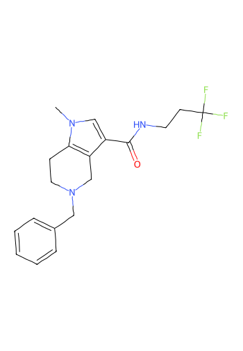 Cn1cc(C(=O)NCCC(F)(F)F)c2c1CCN(Cc1ccccc1)C2